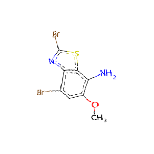 COc1cc(Br)c2nc(Br)sc2c1N